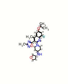 Cc1noc(-c2c(N3CCC(N[C@@H]4CCOC4)CC3)nc3c(F)cc(OC(C)C)cc3c2C)n1